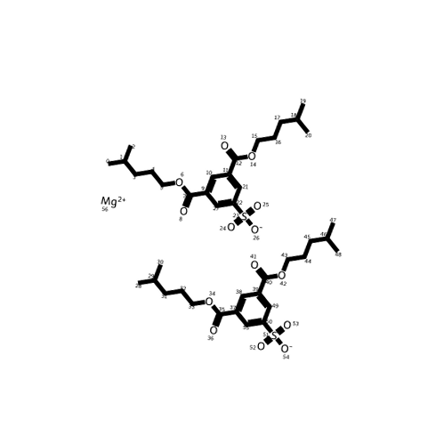 CC(C)CCCOC(=O)c1cc(C(=O)OCCCC(C)C)cc(S(=O)(=O)[O-])c1.CC(C)CCCOC(=O)c1cc(C(=O)OCCCC(C)C)cc(S(=O)(=O)[O-])c1.[Mg+2]